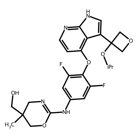 CC(C)OC1(c2c[nH]c3nccc(Oc4c(F)cc(NC5=NCC(C)(CO)CO5)cc4F)c23)COC1